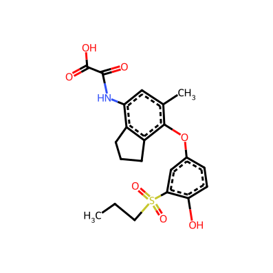 CCCS(=O)(=O)c1cc(Oc2c(C)cc(NC(=O)C(=O)O)c3c2CCC3)ccc1O